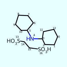 C1CCC(NC2CCCCC2)CC1.O=S(=O)(O)CCS(=O)(=O)O